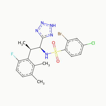 Cc1ccc(F)c([C@@H](C)[C@H](NS(=O)(=O)c2ccc(Cl)cc2Br)c2nn[nH]n2)c1C